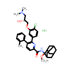 Cc1ccccc1-c1ccc(C(=O)NC2(OC(=O)O)C3CC4CC(C3)CC2C4)nc1-c1ccc(Cl)c(OC[C@H](O)CN(C)C)c1.Cl